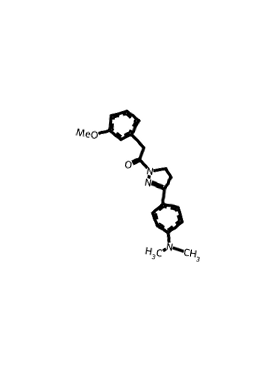 COc1cccc(CC(=O)N2CCC(c3ccc(N(C)C)cc3)=N2)c1